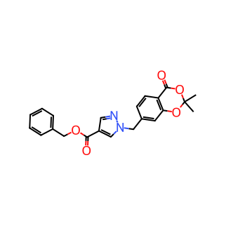 CC1(C)OC(=O)c2ccc(Cn3cc(C(=O)OCc4ccccc4)cn3)cc2O1